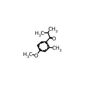 COc1ccc(C(=O)C(C)C)c(C)c1